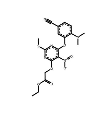 CCOC(=O)COc1nc(SC)nc(Oc2cc(C#N)ccc2N(C)C)c1[N+](=O)[O-]